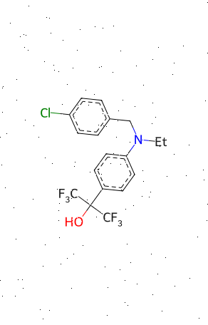 CCN(Cc1ccc(Cl)cc1)c1ccc(C(O)(C(F)(F)F)C(F)(F)F)cc1